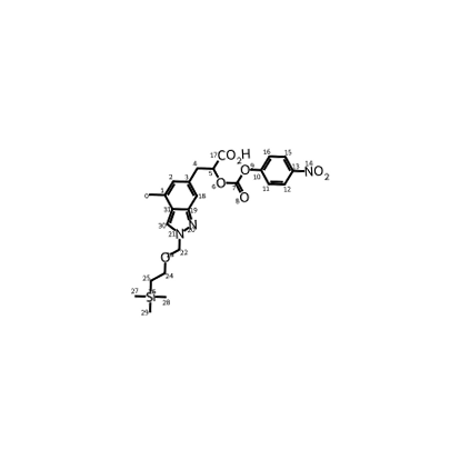 Cc1cc(CC(OC(=O)Oc2ccc([N+](=O)[O-])cc2)C(=O)O)cc2nn(COCC[Si](C)(C)C)cc12